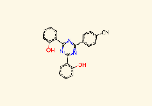 N#Cc1ccc(-c2nc(-c3ccccc3O)nc(-c3ccccc3O)n2)cc1